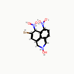 O=[N+]([O-])c1ccc2c3c1C([N+](=O)[O-])C(Br)=CC=3CN(O)C=2